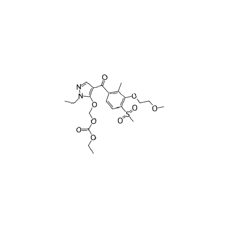 CCOC(=O)OCOc1c(C(=O)c2ccc(S(C)(=O)=O)c(OCCOC)c2C)cnn1CC